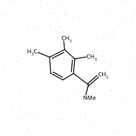 C=C(NC)c1ccc(C)c(C)c1C